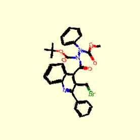 COC(=O)N(c1ccccc1)N(C(=O)OC(C)(C)C)C(=O)c1c(CBr)c(-c2ccccc2)nc2ccccc12